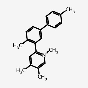 Cc1ccc(-c2ccc(C)c(-c3cc(C)c(C)c[n+]3C)c2)cc1